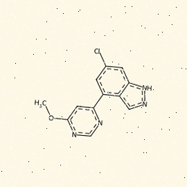 COc1cc(-c2cc(Cl)cc3[nH]ncc23)ncn1